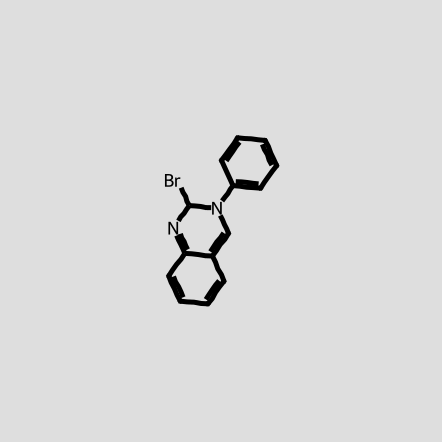 BrC1N=c2ccccc2=CN1c1ccccc1